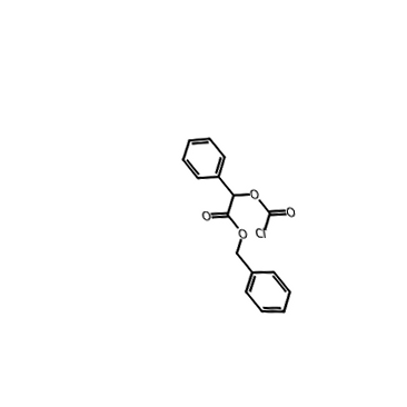 O=C(Cl)OC(C(=O)OCc1ccccc1)c1ccccc1